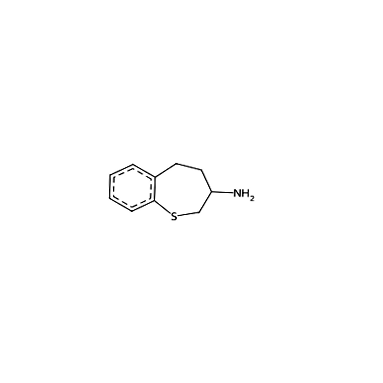 NC1CCc2ccccc2SC1